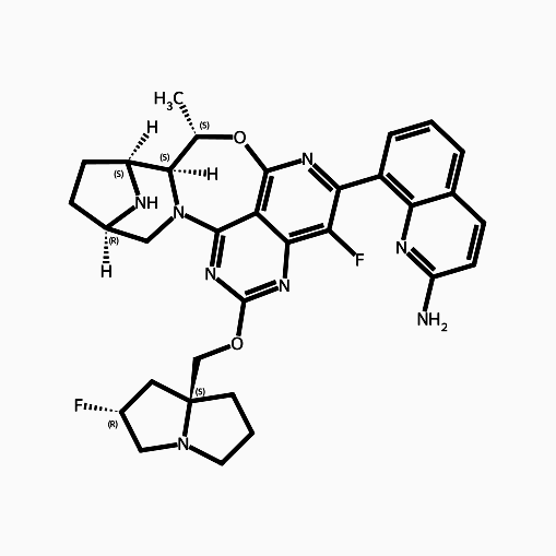 C[C@@H]1Oc2nc(-c3cccc4ccc(N)nc34)c(F)c3nc(OC[C@@]45CCCN4C[C@H](F)C5)nc(c23)N2C[C@H]3CC[C@H](N3)[C@@H]12